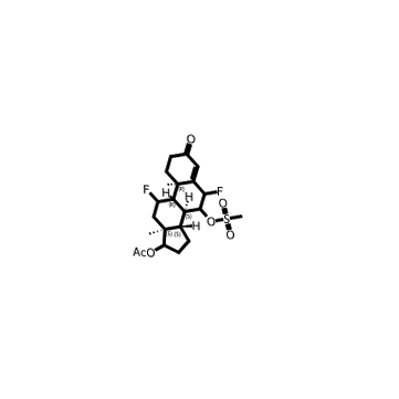 CC(=O)OC1CC[C@H]2[C@@H]3C(OS(C)(=O)=O)C(F)C4=CC(=O)CC[C@]4(C)[C@@H]3C(F)C[C@]12C